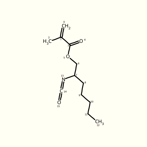 C=C(C)C(=O)OCC(CCCCC)N=C=O